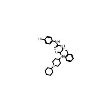 O=C(Nc1ccc(Cl)cc1)N[C@@H](Cc1ccccc1)C(=O)NC1CCN(C2CCCCC2)CC1